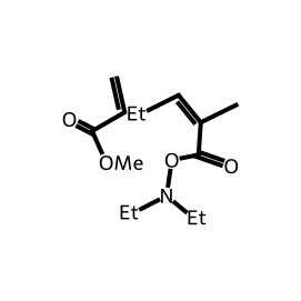 C=CC(=O)OC.CCC=C(C)C(=O)ON(CC)CC